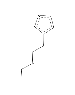 CC[CH]CCc1ccsc1